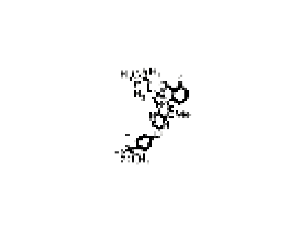 COc1nc(Oc2ccc(C(C)(C)NC(=O)O)cc2)cnc1N(COCC[Si](C)(C)C)S(=O)(=O)c1cccc(Cl)c1Cl